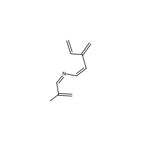 C=CC(=C)/C=C\N=C/C(=C)C